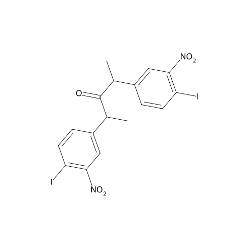 CC(C(=O)C(C)c1ccc(I)c([N+](=O)[O-])c1)c1ccc(I)c([N+](=O)[O-])c1